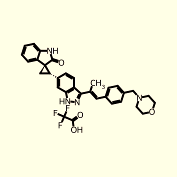 C/C(=C\c1ccc(CN2CCOCC2)cc1)c1n[nH]c2cc([C@@H]3C[C@@]34C(=O)Nc3ccccc34)ccc12.O=C(O)C(F)(F)F